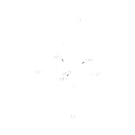 CCc1ccc(C2C(O)[C@@]3(O)C(c4ccc(Cl)cc4)[C@@](O)([C@H](O)CO)[C@@]23O)cc1